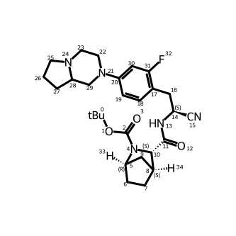 CC(C)(C)OC(=O)N1[C@@H]2CC[C@@H](C2)[C@H]1C(=O)N[C@H](C#N)Cc1ccc(N2CCN3CCCC3C2)cc1F